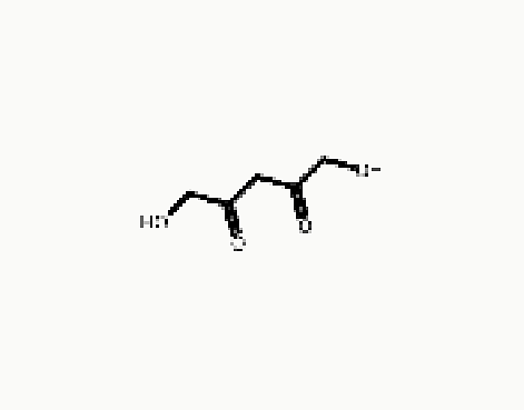 O=C(CO)CC(=O)CO